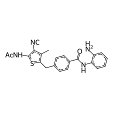 [C-]#[N+]c1c(NC(C)=O)sc(Cc2ccc(C(=O)Nc3ccccc3N)cc2)c1C